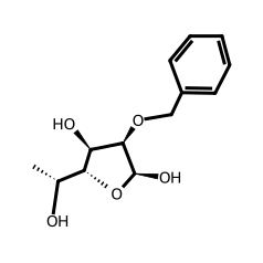 C[C@@H](O)[C@H]1O[C@H](O)[C@H](OCc2ccccc2)[C@@H]1O